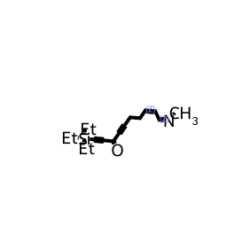 CC[Si](C#CC(=O)C#CCC/C=C\C=N/C)(CC)CC